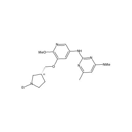 CCN1CC[C@@H](COc2cc(Nc3nc(C)cc(NC)n3)cnc2OC)C1